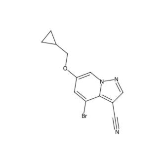 N#Cc1cnn2cc(OCC3CC3)cc(Br)c12